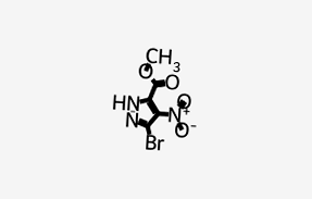 COC(=O)c1[nH]nc(Br)c1[N+](=O)[O-]